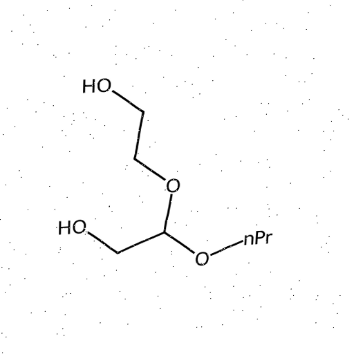 CCCOC(CO)OCCO